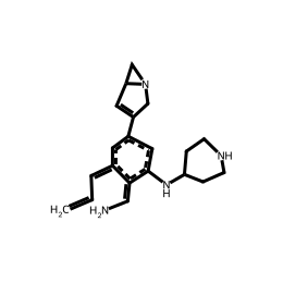 C=C/C=c1/cc(C2=CC3CN3C2)cc(NC2CCNCC2)/c1=C/N